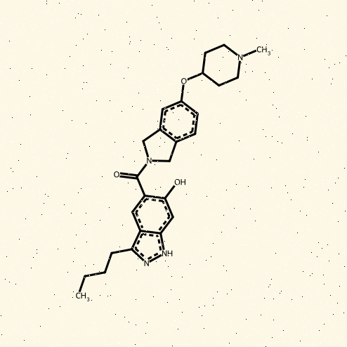 CCCCc1n[nH]c2cc(O)c(C(=O)N3Cc4ccc(OC5CCN(C)CC5)cc4C3)cc12